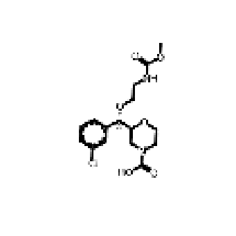 COC(=O)NCCO[C@@H](c1cccc(Cl)c1)C1CN(C(=O)O)CCO1